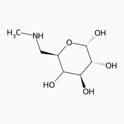 CNC[C@H]1O[C@H](O)[C@H](O)[C@@H](O)C1O